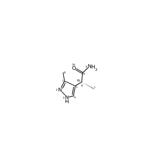 Cc1n[nH]cc1[C@@H](C)C(N)=O